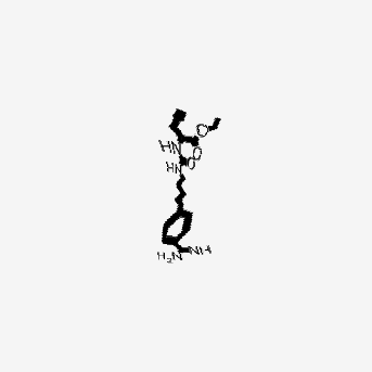 C#CCC(NC(=O)NCCCCc1ccc(C(=N)N)cc1)C(=O)OCC